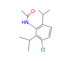 CC(=O)Nc1c(C(C)C)ccc(Cl)c1C(C)C